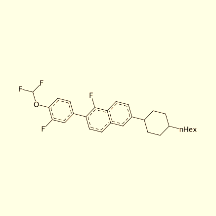 CCCCCCC1CCC(c2ccc3c(F)c(-c4ccc(OC(F)F)c(F)c4)ccc3c2)CC1